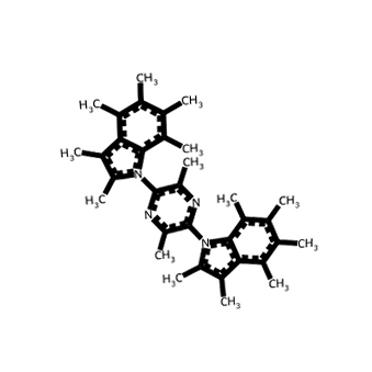 Cc1nc(-n2c(C)c(C)c3c(C)c(C)c(C)c(C)c32)c(C)nc1-n1c(C)c(C)c2c(C)c(C)c(C)c(C)c21